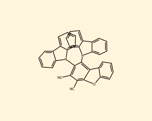 N#Cc1c(-n2c3ccccc3c3ccccc32)c(-n2c3ccccc3c3ccccc32)c2c(oc3ccccc32)c1C#N